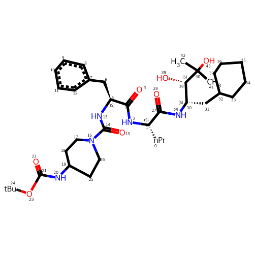 CCC[C@H](NC(=O)[C@H](Cc1ccccc1)NC(=O)N1CCC(NC(=O)OC(C)(C)C)CC1)C(=O)N[C@@H](CC1CCCCC1)[C@H](O)C(C)(C)O